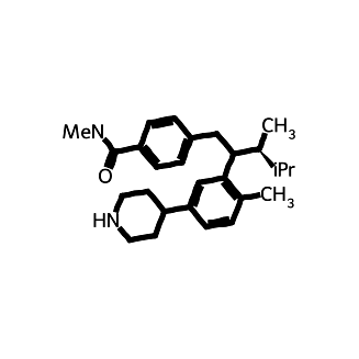 CNC(=O)c1ccc(CC(c2cc(C3CCNCC3)ccc2C)[C@@H](C)C(C)C)cc1